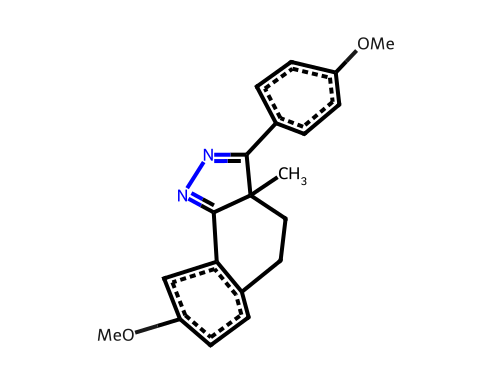 COc1ccc(C2=NN=C3c4cc(OC)ccc4CCC23C)cc1